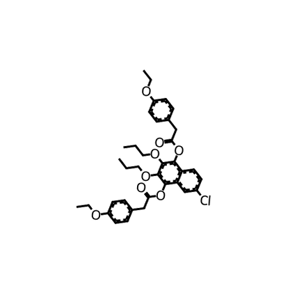 CCCOc1c(OCCC)c(OC(=O)Cc2ccc(OCC)cc2)c2cc(Cl)ccc2c1OC(=O)Cc1ccc(OCC)cc1